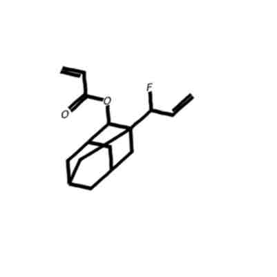 C=CC(=O)OC1C2CC3CC(C2)CC1(C(F)C=C)C3